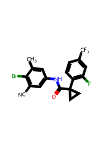 Cc1cc(NC(=O)C2(c3ccc(C(F)(F)F)cc3F)CC2)cc(C#N)c1Br